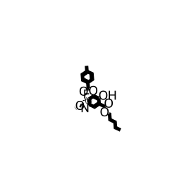 CCCCCOC(=O)C1=CC(=NOC)[C@@](C)(F)C(OC(=O)c2ccc(C)cc2)=C1O